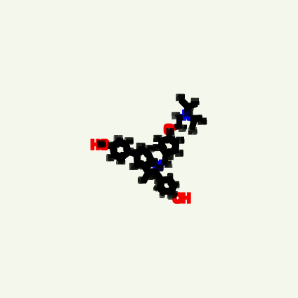 Cc1c(-c2ccc(O)cc2)n(Cc2ccc(OCCN(C(C)C)C(C)C)cc2)c2ccc(-c3ccc(O)cc3)cc12